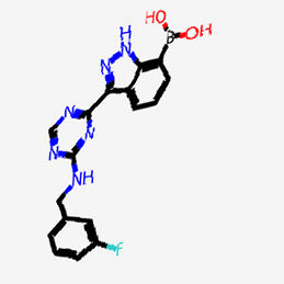 OB(O)c1cccc2c(-c3ncnc(NCc4cccc(F)c4)n3)n[nH]c12